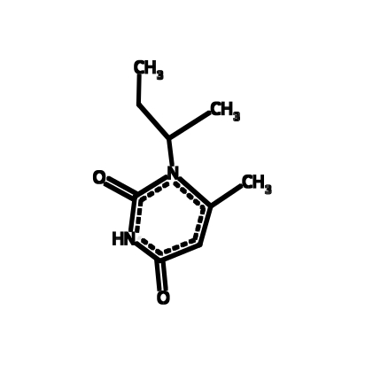 CCC(C)n1c(C)cc(=O)[nH]c1=O